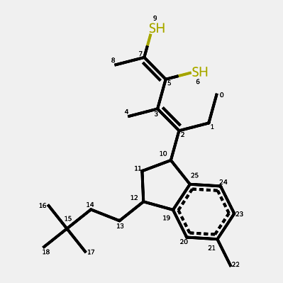 CC/C(=C(C)\C(S)=C(/C)S)C1CC(CCC(C)(C)C)c2cc(C)ccc21